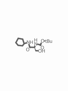 CC(C)(C)OC(=O)N[C@@H](CO)C(=O)NC1CCCCC1